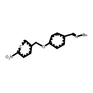 CCC(C)N=Cc1ccc(OCc2ccc([N+](=O)[O-])cc2)cc1